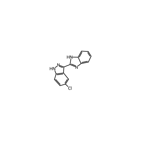 Clc1ccc2[nH]nc(-c3nc4ccccc4[nH]3)c2c1